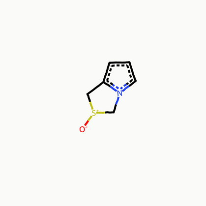 [O-][S+]1Cc2cccn2C1